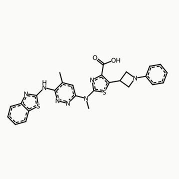 Cc1cc(N(C)c2nc(C(=O)O)c(C3CN(c4ccccc4)C3)s2)nnc1Nc1nc2ccccc2s1